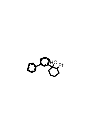 CCC1CCCCC1(O)c1cccc(-c2ccccc2)c1